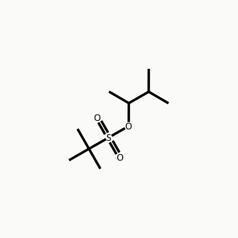 CC(C)C(C)OS(=O)(=O)C(C)(C)C